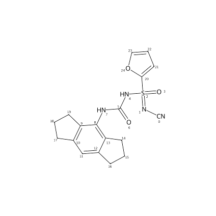 N#CN=S(=O)(NC(=O)Nc1c2c(cc3c1CCC3)CCC2)c1ccco1